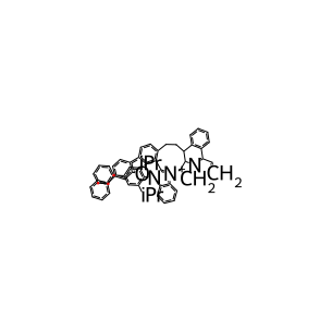 C=CC1=NC2C(=C)[n+]3c(n(-c4c(C(C)C)cc(-c5ccccc5)cc4C(C)C)c4ccccc43)-c3c(ccc4c3oc3cc(-c5ccccc5)ccc34)CCC2c2ccccc21